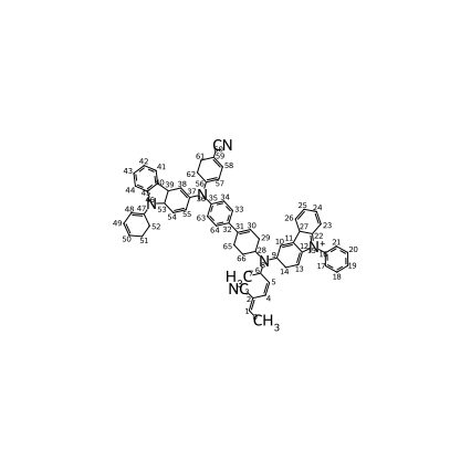 C/C=C(C#N)\C=C/C(C)N(C1C=C2C(=CC1)[N+](c1ccccc1)=C1C=CC=CC21)C1CC=C(c2ccc(N(C3=CC4c5ccccc5N(C5=CC=CCC5)C4C=C3)C3=CC=C(C#N)CC3)cc2)CC1